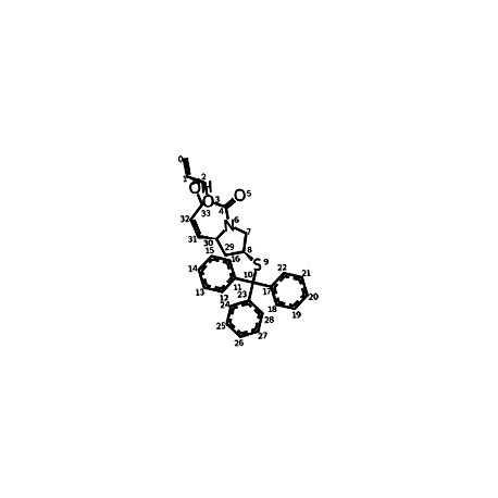 C=CCOC(=O)N1C[C@@H](SC(c2ccccc2)(c2ccccc2)c2ccccc2)C[C@H]1/C=C\CO